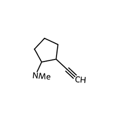 C#CC1CCCC1NC